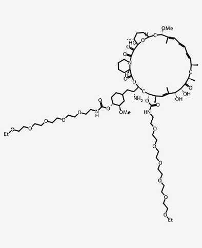 CCOCCOCCOCCOCCOCCNC(=O)O[C@@H]1CCC(C[C@@H](N)[C@@H]2C[C@@H](OC(=O)NCCOCCOCCOCCOCCOCCOCC)[C@H](C)/C=C(\C)[C@@H](O)[C@@H](O)C(=O)[C@H](C)C[C@H](C)/C=C/C=C/C=C(\C)[C@@H](OC)C[C@@H]3CC[C@@H](C)[C@@](O)(O3)C(=O)C(=O)N3CCCC[C@H]3C(=O)O2)C[C@H]1OC